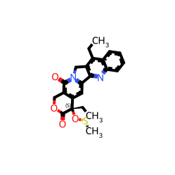 CCc1c2c(nc3ccccc13)-c1cc3c(c(=O)n1C2)COC(=O)[C@@]3(CC)OSC